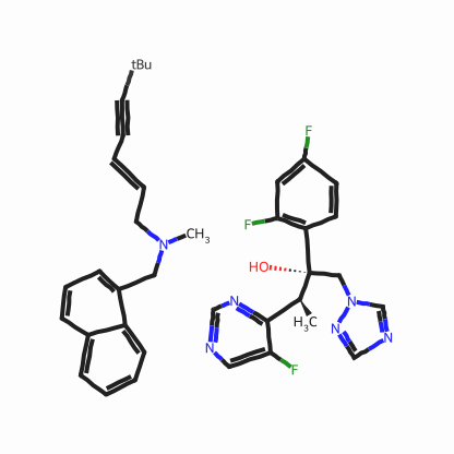 CN(C/C=C/C#CC(C)(C)C)Cc1cccc2ccccc12.C[C@@H](c1ncncc1F)[C@](O)(Cn1cncn1)c1ccc(F)cc1F